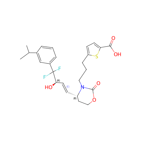 CC(C)c1cccc(C(F)(F)[C@H](O)/C=C/[C@H]2CCOC(=O)N2CCCc2ccc(C(=O)O)s2)c1